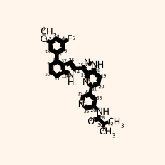 COc1cc(F)cc(-c2cccc3[nH]c(-c4n[nH]c5ccc(-c6cncc(NC(=O)C(C)C)c6)nc45)cc23)c1